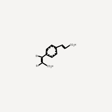 CCC(C(=O)O)=C(CC)c1ccc(C=CC(=O)O)cc1